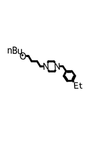 CCCCOCCCCN1CCN(Cc2ccc(CC)cc2)CC1